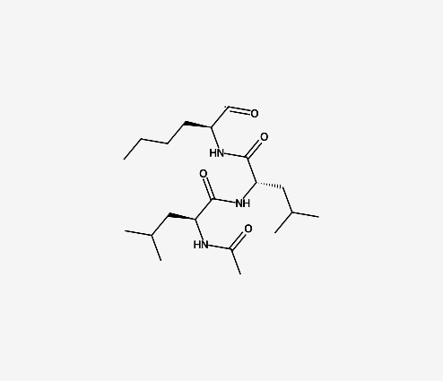 CCCC[C@@H]([C]=O)NC(=O)[C@H](CC(C)C)NC(=O)[C@H](CC(C)C)NC(C)=O